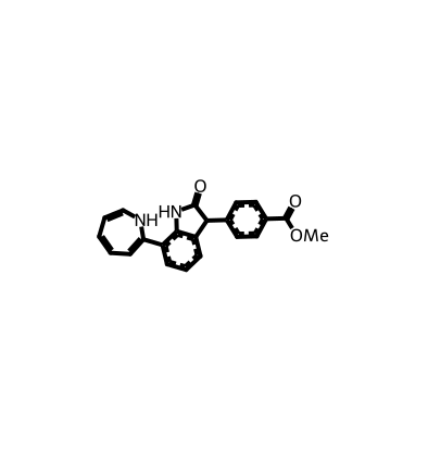 COC(=O)c1ccc(C2C(=O)Nc3c(C4=CC=CC=CN4)cccc32)cc1